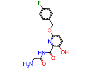 NCC(=O)NC(=O)c1nc(OCc2ccc(F)cc2)ccc1O